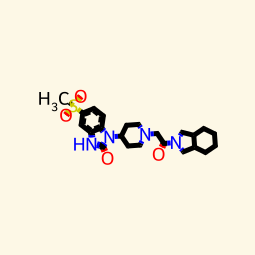 CS(=O)(=O)c1ccc2c(c1)[nH]c(=O)n2C1CCN(CC(=O)N2CC3CCCCC3C2)CC1